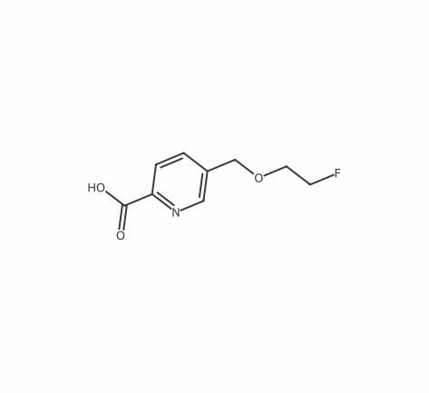 O=C(O)c1ccc(COCCF)cn1